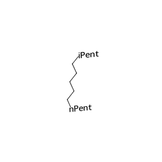 [CH2]CCCCCCCCCC(C)CCC